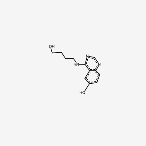 OCCCCNc1ncnc2ccc(O)cc12